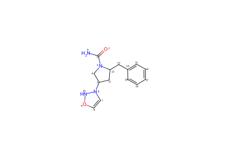 NC(=O)N1CC(N2C=CON2)CC1Cc1ccccc1